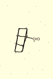 O=CC12C3C4C5C3C1C5C42